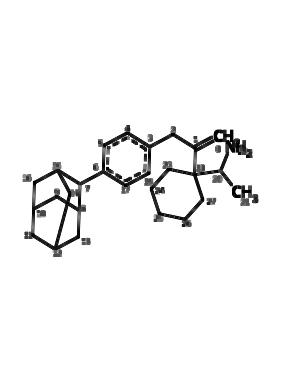 C=C(Cc1ccc(C2C3CC4CC(C3)CC2C4)cc1)C1(C(C)N)CCCCC1